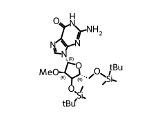 CO[C@@H]1C(O[Si](C)(C)C(C)(C)C)[C@@H](CO[Si](C)(C)C(C)(C)C)O[C@H]1n1cnc2c(=O)[nH]c(N)nc21